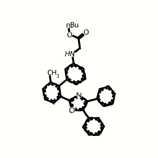 CCCCOC(=O)CNc1cccc(-c2c(C)cccc2-c2nc(-c3ccccc3)c(-c3ccccc3)o2)c1